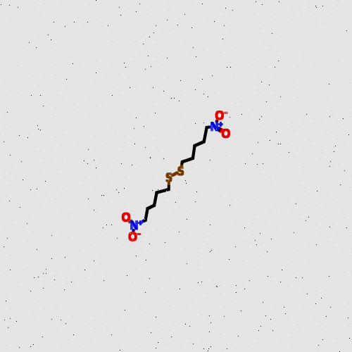 O=[N+]([O-])CCCCCSSCCCCC[N+](=O)[O-]